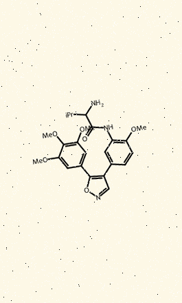 COc1ccc(-c2cnoc2-c2cc(OC)c(OC)c(OC)c2)cc1NC(=O)C(N)C(C)C